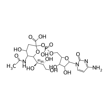 CC(=O)NC1C(O)CC(OP(=O)(O)OCC2OC(n3ccc(N)nc3=O)C(O)C2O)(C(=O)O)OC1[C@H](O)[C@H](O)CO